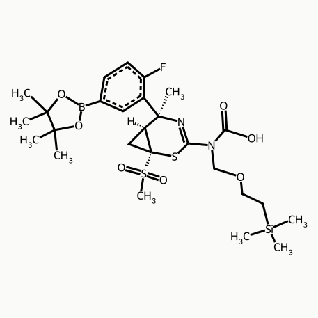 CC1(C)OB(c2ccc(F)c([C@@]3(C)N=C(N(COCC[Si](C)(C)C)C(=O)O)S[C@@]4(S(C)(=O)=O)C[C@H]43)c2)OC1(C)C